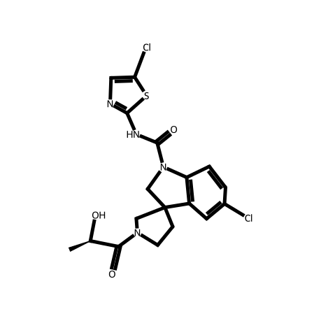 C[C@@H](O)C(=O)N1CCC2(C1)CN(C(=O)Nc1ncc(Cl)s1)c1ccc(Cl)cc12